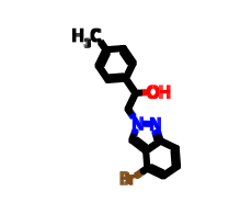 Cc1ccc(C(O)Cn2cc3c(Br)cccc3n2)cc1